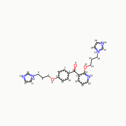 O=C(c1ccc(OCCCn2ccnc2)cc1)c1cccnc1OCCCn1ccnc1